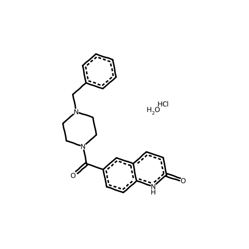 Cl.O.O=C(c1ccc2[nH]c(=O)ccc2c1)N1CCN(Cc2ccccc2)CC1